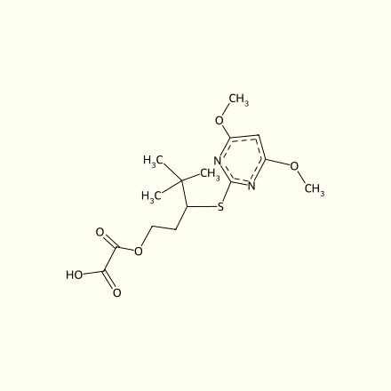 COc1cc(OC)nc(SC(CCOC(=O)C(=O)O)C(C)(C)C)n1